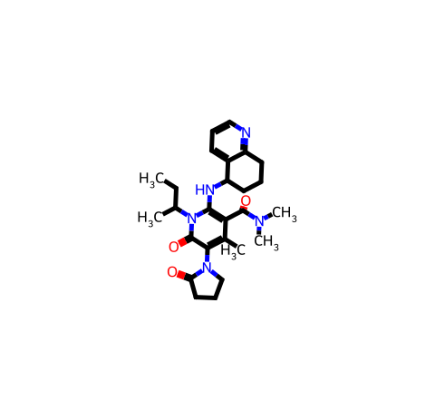 CCC(C)n1c(NC2CCCc3ncccc32)c(C(=O)N(C)C)c(C)c(N2CCCC2=O)c1=O